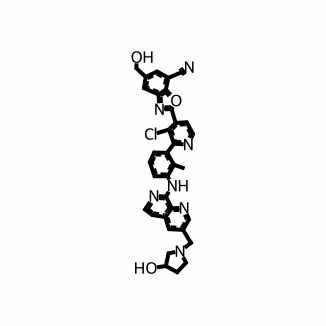 Cc1c(Nc2nccc3cc(CN4CCC(O)C4)cnc23)cccc1-c1nccc(-c2nc3cc(CO)cc(C#N)c3o2)c1Cl